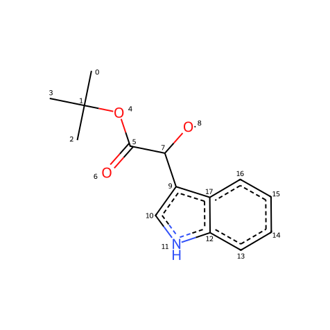 CC(C)(C)OC(=O)C([O])c1c[nH]c2ccccc12